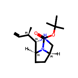 C=C[C@@H](C)[C@@H]1NC[C@H]2CC[C@@H]1N2C(=O)OC(C)(C)C